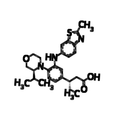 CC[C@@H](CC(=O)O)c1ccc(N2CCOC[C@@H]2C(C)C)c(Nc2ccc3nc(C)sc3c2)c1